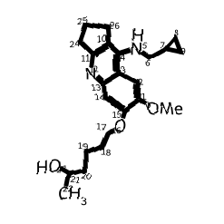 COc1cc2c(NCC3CC3)c3c(nc2cc1OCCCCC(C)O)CCC3